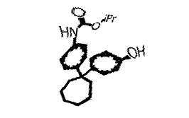 CC(C)OC(=O)Nc1ccc(C2(c3ccc(O)cc3)CCCCCC2)cc1